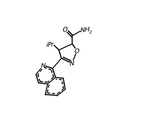 CC(C)C1C(c2nccc3ccccc23)=NOC1C(N)=O